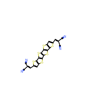 N#CC(C#N)=Cc1cc2sc3c(sc4c5sc6cc(C=C(C#N)C#N)sc6c5sc34)c2s1